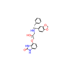 O=c1[nH]c2cccc(OC[C@@H](O)CN[C@H](Cc3ccccc3)c3ccc4c(c3)OCO4)c2[nH]1